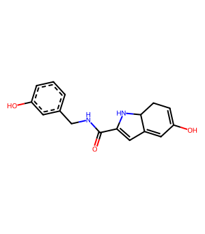 O=C(NCc1cccc(O)c1)C1=CC2=CC(O)=CCC2N1